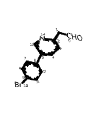 O=CCc1ccc(-c2ccc(Br)cc2)cn1